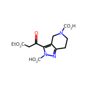 CCOC(=O)CC(=O)c1c2c(nn1C(=O)O)CCN(C(=O)O)C2